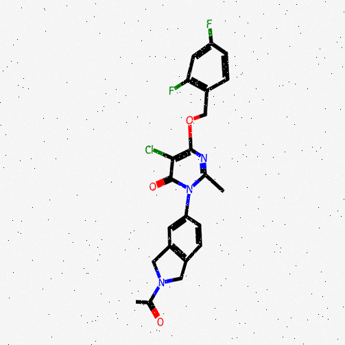 CC(=O)N1Cc2ccc(-n3c(C)nc(OCc4ccc(F)cc4F)c(Cl)c3=O)cc2C1